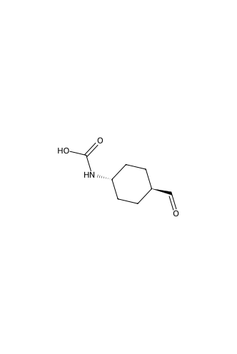 O=C[C@H]1CC[C@H](NC(=O)O)CC1